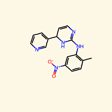 Cc1ccc([N+](=O)[O-])cc1NC1=NC=CC(c2cccnc2)N1